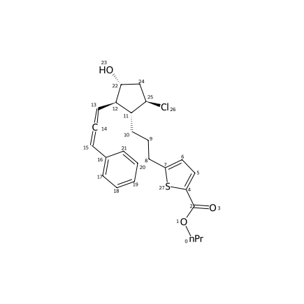 CCCOC(=O)c1ccc(CCC[C@@H]2[C@@H](C=C=Cc3ccccc3)[C@H](O)C[C@H]2Cl)s1